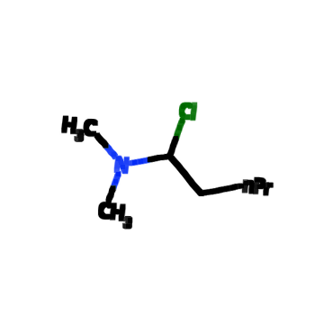 CCCCC(Cl)N(C)C